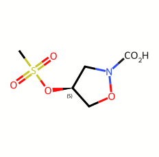 CS(=O)(=O)O[C@@H]1CON(C(=O)O)C1